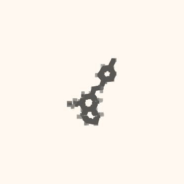 Cc1ccc(OCc2nc(N)c3nccnc3n2)cc1